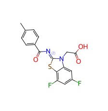 Cc1ccc(C(=O)/N=c2\sc3c(F)cc(F)cc3n2CC(=O)O)cc1